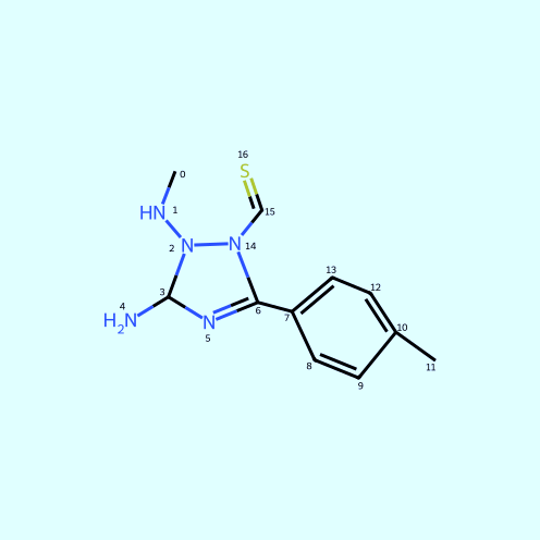 CNN1C(N)N=C(c2ccc(C)cc2)N1C=S